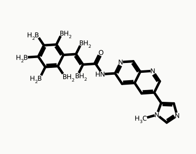 B/C(C(=O)Nc1cc2cc(-c3cncn3C)cnc2cn1)=C(/B)c1c(B)c(B)c(B)c(B)c1B